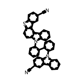 N#Cc1ccc2sc3ccc4c(c5ccccc5n4-c4ccccc4-c4ccccc4-n4c5ccccc5c5cc(C#N)ccc54)c3c2c1